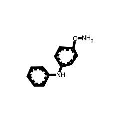 NOc1ccc(Nc2ccccc2)cc1